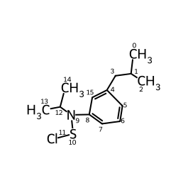 CC(C)Cc1cccc(N(SCl)C(C)C)c1